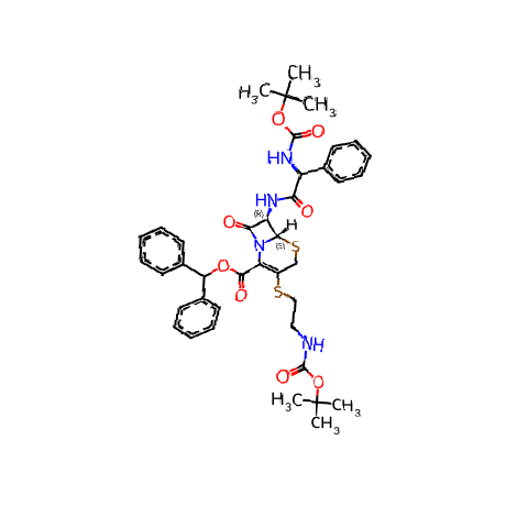 CC(C)(C)OC(=O)NCCSC1=C(C(=O)OC(c2ccccc2)c2ccccc2)N2C(=O)[C@@H](NC(=O)C(NC(=O)OC(C)(C)C)c3ccccc3)[C@@H]2SC1